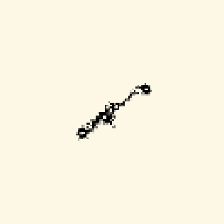 Cc1cc(/C=C/CCOCc2ccccc2)cc2c1OC1OC2Oc2c(C)cc(/C=C/CCOCc3ccccc3)cc21